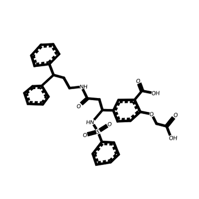 O=C(O)COc1ccc(C(CC(=O)NCCC(c2ccccc2)c2ccccc2)NS(=O)(=O)c2ccccc2)cc1C(=O)O